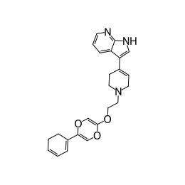 C1=CCCC(C2=COC(OCCN3CC=C(c4c[nH]c5ncccc45)CC3)=CO2)=C1